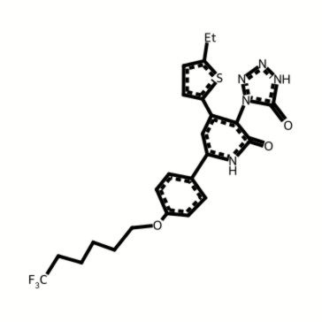 CCc1ccc(-c2cc(-c3ccc(OCCCCCC(F)(F)F)cc3)[nH]c(=O)c2-n2nn[nH]c2=O)s1